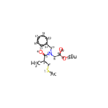 CC(=O)SCC(C)C(=O)N(CC(=O)OC(C)(C)C)Cc1ccccc1